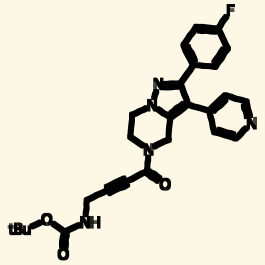 CC(C)(C)OC(=O)NCC#CC(=O)N1CCn2nc(-c3ccc(F)cc3)c(-c3ccncc3)c2C1